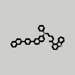 C=C(/C=C\C=C\N(c1ccccc1)c1ccc2ccc(-c3ccc(-c4ccc5ccccc5c4)cc3)cc2c1)c1cccc2oc3ccccc3c12